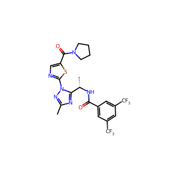 Cc1nc([C@H](C)NC(=O)c2cc(C(F)(F)F)cc(C(F)(F)F)c2)n(-c2ncc(C(=O)N3CCCC3)s2)n1